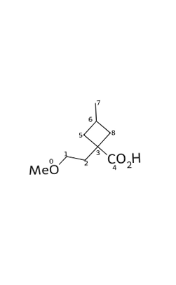 COCCC1(C(=O)O)CC(C)C1